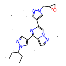 CCC(CC)n1cc(-c2nc(-c3cnn(CC4CO4)c3)cn3nccc23)cn1